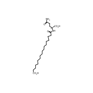 NC(=O)CC[C@H](NC(=O)CCCCCCCCCCCCCCCCC(=O)O)C(=O)O